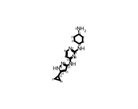 N[C@H]1CC[C@H](Nc2nccc(Nc3cc(C4CC4)[nH]n3)n2)CC1